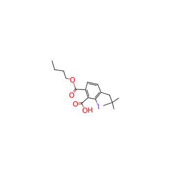 CCCCOC(=O)c1ccc(CC(C)(C)C)c(I)c1C(=O)O